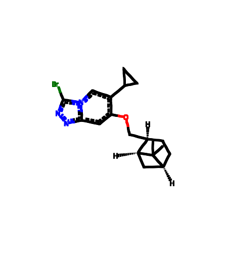 CC1(C)[C@H]2CC[C@H](COc3cc4nnc(Br)n4cc3C3CC3)[C@@H]1C2